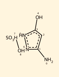 Nc1cc(O)[nH]n1.O=S(=O)(O)O